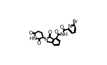 O=C1CCC(N2Cc3cccc(C(=O)NC(=O)c4cccc(Br)n4)c3C2=O)C(=O)N1